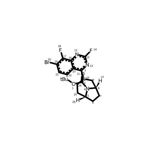 CC(C)(C)OC(=O)N1[C@@H]2CC[C@H]1CN(c1nc(F)nc3c(F)c(Br)ccc13)CC2